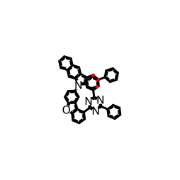 C1=C(c2ccccc2)CCc2c1c1cc3ccccc3cc1n2-c1ccc2oc3cccc(-c4nc(-c5ccccc5)nc(-c5ccccc5)n4)c3c2c1